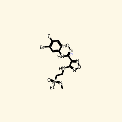 CC[S@@](=O)(CCNc1nonc1/C(=N/O)Nc1ccc(F)c(Br)c1)=NC